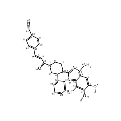 COc1cc2c(N)nc(N3CCN(C(=O)/C=C/c4ccc(C#N)cc4)CC3c3ccccc3)nc2c(F)c1OC